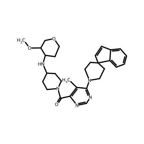 COC1COCCC1NC1CCN(C(=O)c2ncnc(N3CCC4(C=Cc5ccccc54)CC3)c2C)CC1